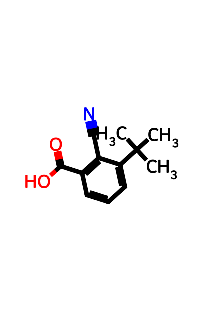 CC(C)(C)c1cccc(C(=O)O)c1C#N